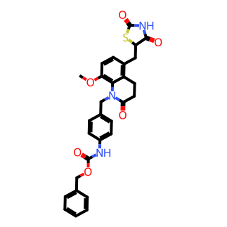 COc1ccc(CC2SC(=O)NC2=O)c2c1N(Cc1ccc(NC(=O)OCc3ccccc3)cc1)C(=O)CC2